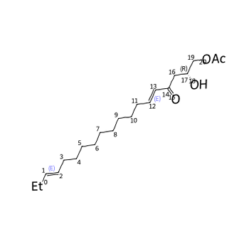 CC/C=C/CCCCCCCCC/C=C/C(=O)C[C@@H](O)COC(C)=O